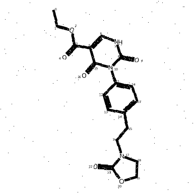 CCOC(=O)c1c[nH]c(=O)n(-c2ccc(CCN3CCOC3=O)cc2)c1=O